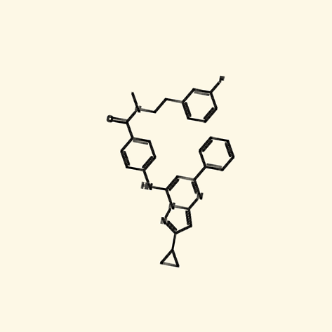 CN(CCc1cccc(F)c1)C(=O)c1ccc(Nc2cc(-c3ccccc3)nc3cc(C4CC4)nn23)cc1